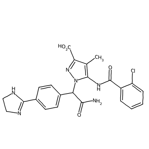 Cc1c(C(=O)O)nn(C(C(N)=O)c2ccc(C3=NCCN3)cc2)c1NC(=O)c1ccccc1Cl